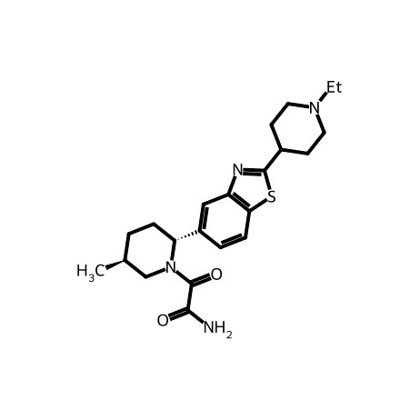 CCN1CCC(c2nc3cc([C@H]4CC[C@H](C)CN4C(=O)C(N)=O)ccc3s2)CC1